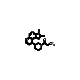 Cc1cc2c(ncc3nccc(C4CCCN(C(=O)CC(F)(F)F)C4)c32)[nH]1